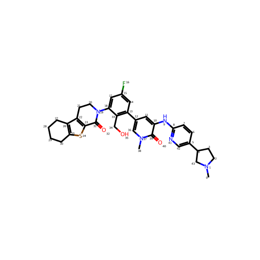 CN1CCC(c2ccc(Nc3cc(-c4cc(F)cc(N5CCc6c(sc7c6CCCC7)C5=O)c4CO)cn(C)c3=O)nc2)C1